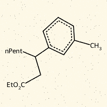 CCCCCC(CC(=O)OCC)c1cccc(C)c1